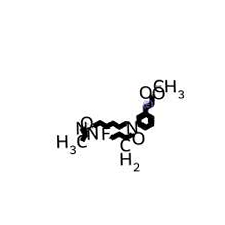 C=C(CCF)C(=O)N(CCCCCc1nc(C)no1)c1cccc(/C=C/C(=O)OC)c1